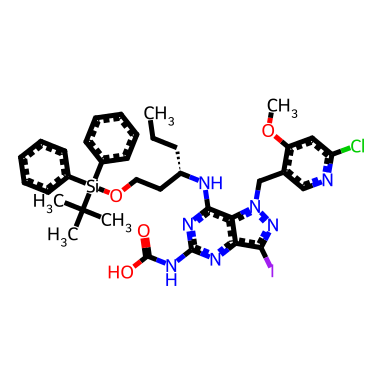 CCC[C@@H](CCO[Si](c1ccccc1)(c1ccccc1)C(C)(C)C)Nc1nc(NC(=O)O)nc2c(I)nn(Cc3cnc(Cl)cc3OC)c12